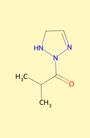 CC(C)C(=O)N1N=CCN1